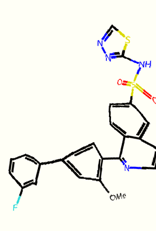 COc1cc(-c2cccc(F)c2)ccc1-c1nccc2cc(S(=O)(=O)Nc3nncs3)ccc12